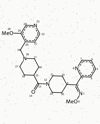 CON=C(c1ccccn1)C1CCN(C(=O)C2CCN(Cc3ccncc3OC)CC2)CC1